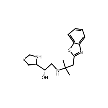 CC(C)(Cc1nc2ccccc2s1)NC[C@H](O)[C@H]1CSCN1